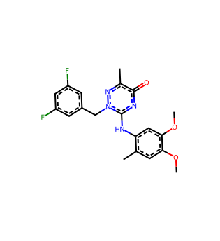 COc1cc(C)c(Nc2nc(=O)c(C)nn2Cc2cc(F)cc(F)c2)cc1OC